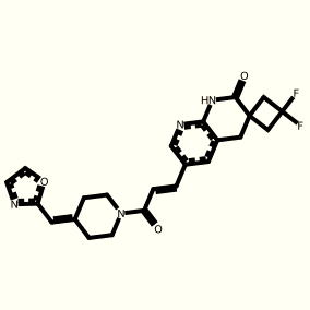 O=C(C=Cc1cnc2c(c1)CC1(CC(F)(F)C1)C(=O)N2)N1CCC(=Cc2ncco2)CC1